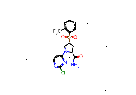 NC(=O)[C@@H]1C[C@H](S(=O)(=O)c2ccccc2C(F)(F)F)CN1c1ccnc(Cl)n1